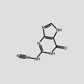 N#[N+]Nc1nc2nc[nH]c2c(=O)[nH]1